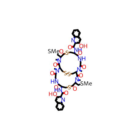 CSCC1C(=O)SCC(NC(=O)c2nc3ccccc3cc2O)C(=O)NCC(=O)N(C)C2CSSCC(C(=O)N1C)N(C)C(=O)CNC(=O)C(NC(=O)c1nc3ccccc3cc1O)CSC(=O)C(CSC)N(C)C2=O